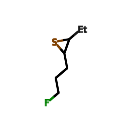 CCC1SC1CCCF